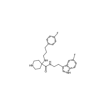 O=C(NCCc1c[nH]c2ccc(F)cc12)C1(NCCCc2ccc(F)cc2)CCNCC1